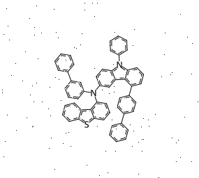 c1ccc(-c2ccc(-c3cccc4c3c3cc(N(c5cccc(-c6ccccc6)c5)c5cccc6sc7ccccc7c56)ccc3n4-c3ccccc3)cc2)cc1